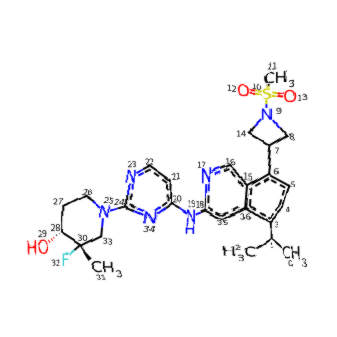 CC(C)c1ccc(C2CN(S(C)(=O)=O)C2)c2cnc(Nc3ccnc(N4CC[C@@H](O)[C@@](C)(F)C4)n3)cc12